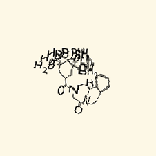 BC1(B)CC(C(=O)N2CC(=O)N3CCc4ccccc4[C@@H]3C2)CC(B)(B)C1(B)B